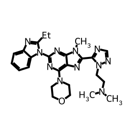 CCc1nc2ccccc2n1-c1nc(N2CCOCC2)c2nc(-c3ncnn3CCN(C)C)n(C)c2n1